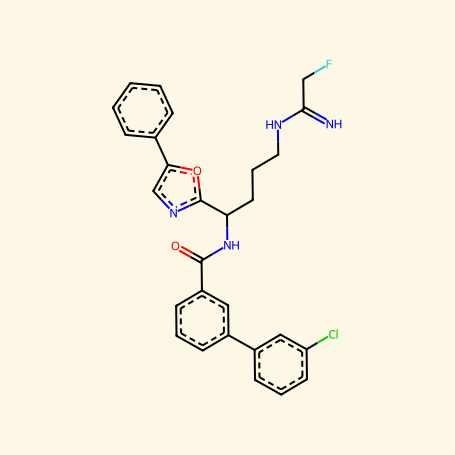 N=C(CF)NCCCC(NC(=O)c1cccc(-c2cccc(Cl)c2)c1)c1ncc(-c2ccccc2)o1